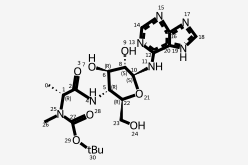 C[C@H](C(=O)N[C@@H]1[C@@H](O)[C@H](O)[C@@H](Nc2ncnc3nc[nH]c23)O[C@H]1CO)N(C)C(=O)OC(C)(C)C